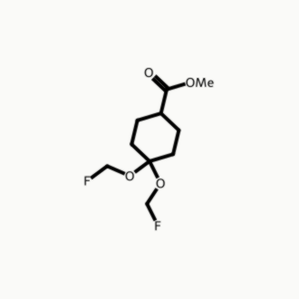 COC(=O)C1CCC(OCF)(OCF)CC1